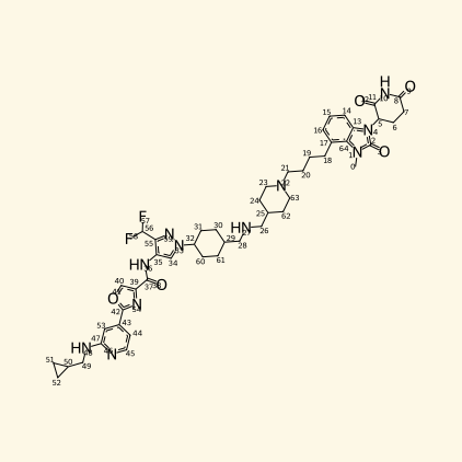 Cn1c(=O)n(C2CCC(=O)NC2=O)c2cccc(CCCCN3CCC(CNCC4CCC(n5cc(NC(=O)c6coc(-c7ccnc(NCC8CC8)c7)n6)c(C(F)F)n5)CC4)CC3)c21